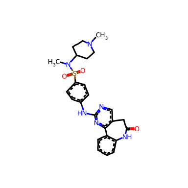 CN1CCC(N(C)S(=O)(=O)c2ccc(Nc3ncc4c(n3)-c3ccccc3NC(=O)C4)cc2)CC1